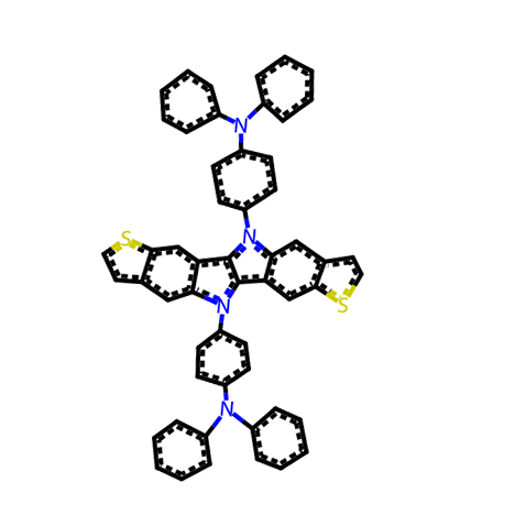 c1ccc(N(c2ccccc2)c2ccc(-n3c4cc5ccsc5cc4c4c3c3cc5sccc5cc3n4-c3ccc(N(c4ccccc4)c4ccccc4)cc3)cc2)cc1